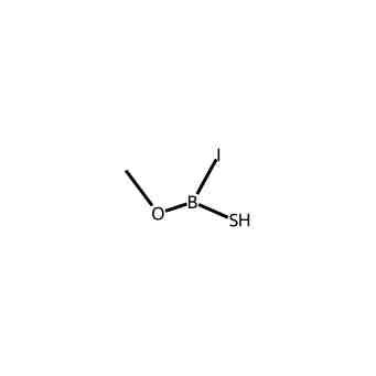 COB(S)I